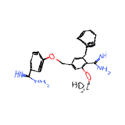 N=C(N)c1cccc(OCc2cc(OC(=O)O)c(C(=N)N)c(-c3ccccc3)c2)c1